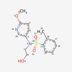 COc1ccc(N(CCO)S(=O)(=O)c2ccccc2C)cn1